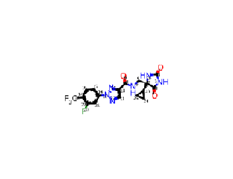 O=C1NC(=O)[C@](CNC(=O)c2cnn(-c3ccc(C(F)(F)F)c(F)c3)n2)(C2CC2)N1